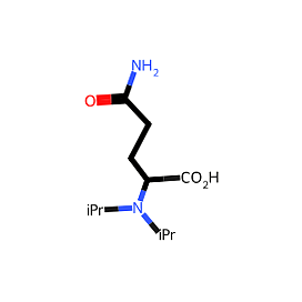 CC(C)N(C(C)C)C(CCC(N)=O)C(=O)O